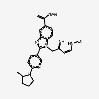 C=C(NC)c1ccc2c(c1)nc(-c1ccc(N3CCCC3C)nc1)n2CC(=N)/C=C\NCC